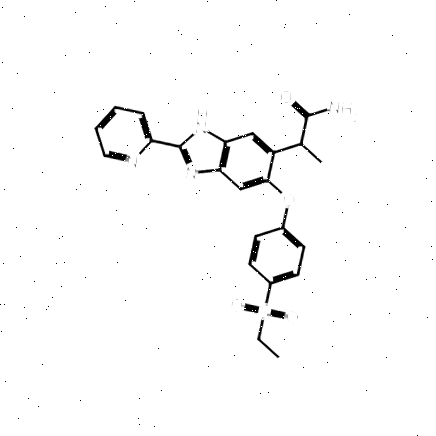 CCS(=O)(=O)c1ccc(Oc2cc3nc(-c4ccccn4)[nH]c3cc2C(C)C(N)=O)cc1